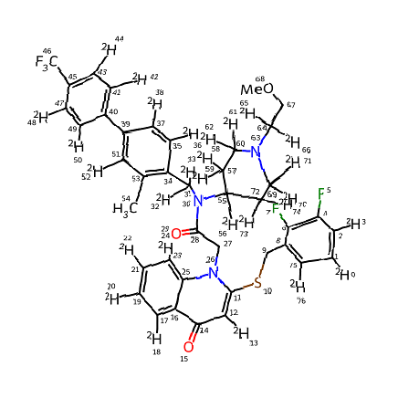 [2H]c1c([2H])c(F)c(F)c(CSc2c([2H])c(=O)c3c([2H])c([2H])c([2H])c([2H])c3n2CC(=O)N(C([2H])([2H])c2c([2H])c([2H])c(-c3c([2H])c([2H])c(C(F)(F)F)c([2H])c3[2H])c([2H])c2C)C2([2H])C([2H])([2H])C([2H])([2H])N(C([2H])([2H])COC)C([2H])([2H])C2([2H])[2H])c1[2H]